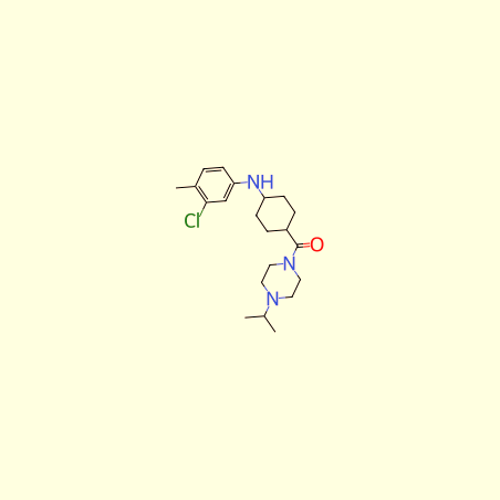 Cc1ccc(NC2CCC(C(=O)N3CCN(C(C)C)CC3)CC2)cc1Cl